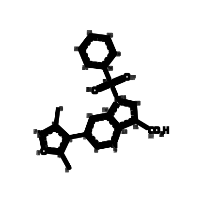 Cc1noc(C)c1-c1cnc2c(C(=O)O)cn(S(=O)(=O)c3ccccc3)c2c1